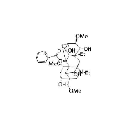 CCN1CC2(COC)C3C(O)C4C1C3([C@@H](OC)C[C@H]2O)[C@]1(OC(=O)c2ccccc2)C2=C3C1[C@]4(CC)C(O)[C@H](OC)C32O